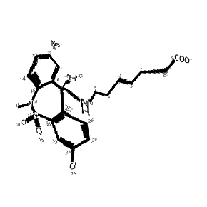 [2H][C@]1(NCCCCCCC(=O)[O-])c2ccccc2N(C)S(=O)(=O)c2cc(Cl)ccc21.[Na+]